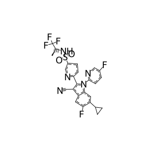 C[C@H](NS(=O)(=O)c1ccc(-c2c(C#N)c3cc(F)c(C4CC4)cc3n2-c2ccc(F)cn2)nc1)C(F)(F)F